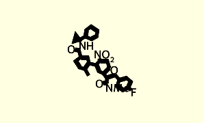 CNC(=O)c1c(-c2ccc(F)cc2)oc2cc([N+](=O)[O-])c(-c3cc(C(=O)NC4(c5ccccc5)CC4)ccc3C)cc12